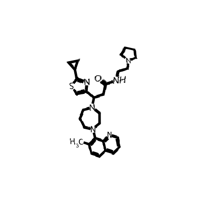 Cc1ccc2cccnc2c1N1CCCN(C(CC(=O)NCCN2CCCC2)c2csc(C3CC3)n2)CC1